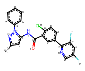 N#Cc1cc(NC(=O)c2cc(-c3ncc(F)cc3F)ccc2Cl)n(-c2ccccc2)n1